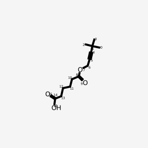 CC(C)(C)C#CCOC(=O)CCCCC(=O)O